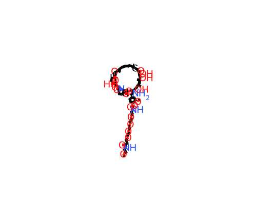 COCCNC(=O)CCOCCOCCOCCOCCNC(=O)O[C@@H]1CC[C@@H](C[C@@H](N)[C@@H]2C[C@@H](O)C(C)/C=C(\C)[C@@H](O)[C@@H](O)C(=O)[C@H](C)C[C@H](C)/C=C/C=C/C=C(\C)[C@@H](OC)C[C@@H]3CC[C@@H](C)[C@@](O)(O3)C(=O)C(=O)N3CCCC[C@H]3C(=O)O2)C[C@H]1OC